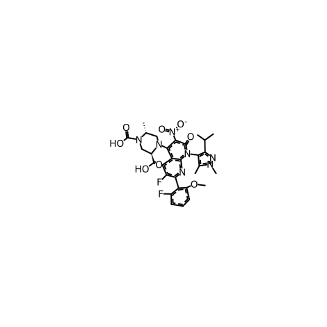 COc1cccc(F)c1-c1nc2c(cc1F)c(N1C[C@@H](C)N(C(=O)O)C[C@@H]1C(=O)O)c([N+](=O)[O-])c(=O)n2-c1c(C(C)C)nn(C)c1C